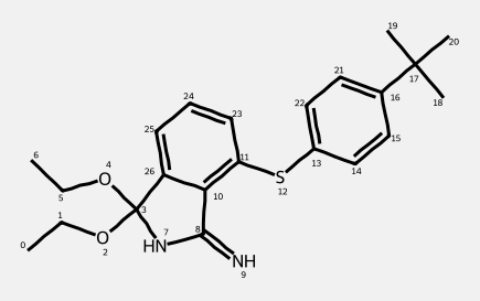 CCOC1(OCC)NC(=N)c2c(Sc3ccc(C(C)(C)C)cc3)cccc21